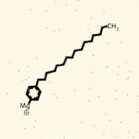 CCCCCCCCCCCCCCCCc1cc[c]([Mg][Br])cc1